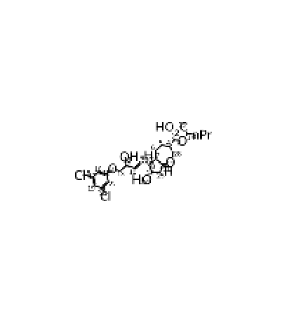 CCCC(OC[C@@H]1CC[C@@H]2[C@@H](/C=C/[C@@H](O)COc3cc(Cl)cc(Cl)c3)[C@H](O)C[C@@H]2OC1)C(=O)O